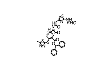 Cc1nnc(SC2=C(C(=O)OC(c3ccccc3)c3ccccc3)N3C(=O)[C@@H](NC(=O)Cc4csc(NC=O)n4)[C@@H]3SC2)s1